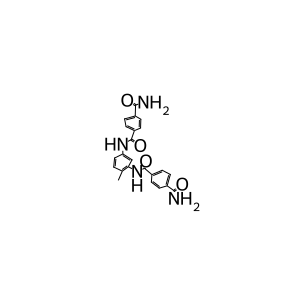 Cc1ccc(NC(=O)c2ccc(C(N)=O)cc2)cc1NC(=O)c1ccc(C(N)=O)cc1